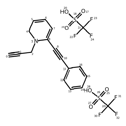 C#CCN1CC=CC=C1C#Cc1ccccc1.O=S(=O)(O)C(F)(F)F.O=S(=O)(O)C(F)(F)F